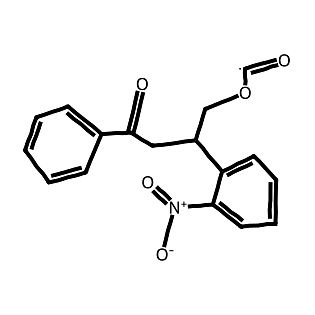 O=[C]OCC(CC(=O)c1ccccc1)c1ccccc1[N+](=O)[O-]